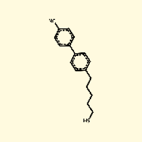 N#Cc1ccc(-c2ccc(CCCCCS)cc2)cc1